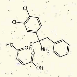 CC(N)(Cc1ccccc1)c1ccc(Cl)c(Cl)c1.O=C(O)/C=C\C(=O)O